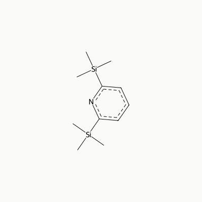 C[Si](C)(C)c1cccc([Si](C)(C)C)n1